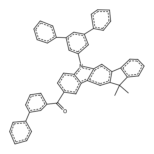 CC1(C)c2ccccc2-c2cc3c(cc21)c1cc(C(=O)c2cccc(-c4ccccc4)c2)ccc1n3-c1cc(-c2ccccc2)cc(-c2ccccc2)c1